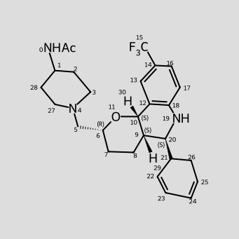 CC(=O)NC1CCN(C[C@H]2CC[C@@H]3[C@H](O2)c2cc(C(F)(F)F)ccc2N[C@H]3C2C=CC=CC2)CC1